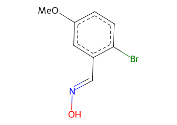 COc1ccc(Br)c(C=NO)c1